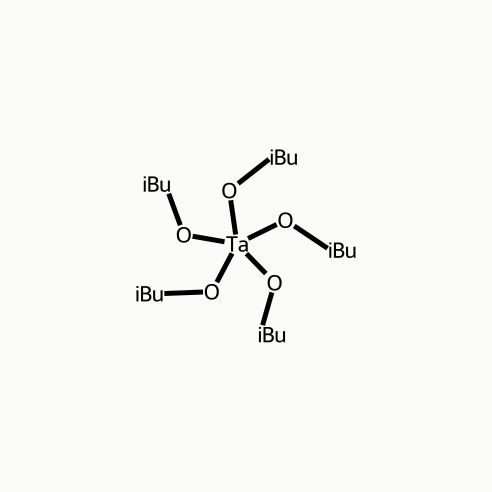 CCC(C)[O][Ta]([O]C(C)CC)([O]C(C)CC)([O]C(C)CC)[O]C(C)CC